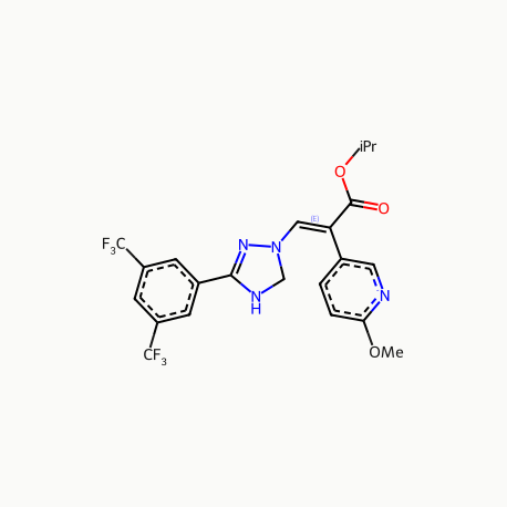 COc1ccc(/C(=C\N2CNC(c3cc(C(F)(F)F)cc(C(F)(F)F)c3)=N2)C(=O)OC(C)C)cn1